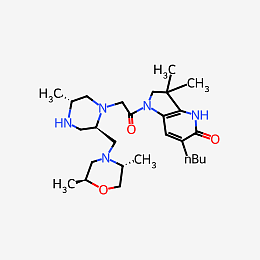 CCCCc1cc2c([nH]c1=O)C(C)(C)CN2C(=O)CN1C[C@@H](C)NC[C@@H]1CN1C[C@H](C)OC[C@H]1C